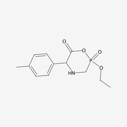 CCOP1(=O)CNC(c2ccc(C)cc2)C(=O)O1